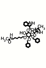 CC(=O)NCCCCCCOC1C(O)C(OC(C)c2c[nH]c3ccccc23)C(OC(=O)c2nc(C)c[nH]2)C(OCc2ccccc2)C1OCc1ccccc1